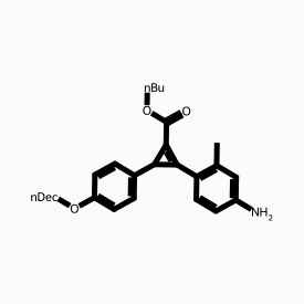 CCCCCCCCCCOc1ccc(C2C(C(=O)OCCCC)=C2c2ccc(N)cc2C)cc1